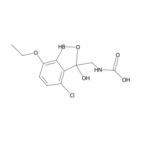 CCOc1ccc(Cl)c2c1BOC2(O)CNC(=O)O